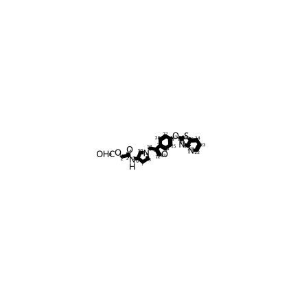 O=COCC(=O)NC1CCN(Cc2coc3cc(Oc4nc5ncccc5s4)ccc23)C1